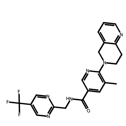 Cc1cc(C(=O)NCc2ncc(C(F)(F)F)cn2)cnc1N1CCc2ncccc2C1